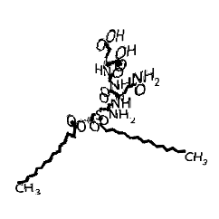 CCCCCCCCCCCCCCCC(=O)OC[C@H](CSCC(N)C(=O)N[C@H](CCC(N)=O)C(=O)NCC(=O)N[C@H](CCC(=O)O)C(=O)O)OC(=O)CCCCCCCCCCCCCCC